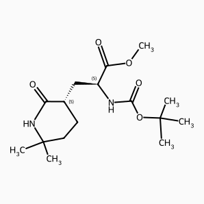 COC(=O)[C@H](C[C@@H]1CCC(C)(C)NC1=O)NC(=O)OC(C)(C)C